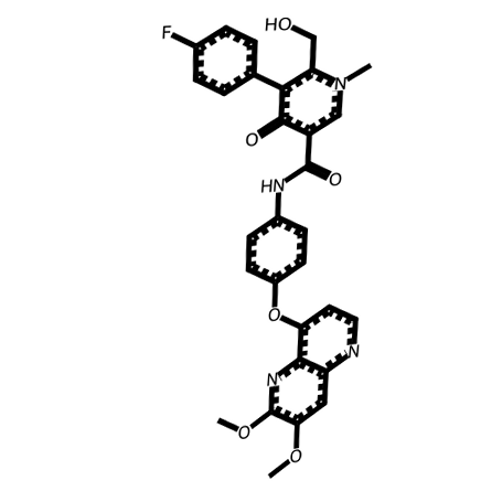 COc1cc2nccc(Oc3ccc(NC(=O)c4cn(C)c(CO)c(-c5ccc(F)cc5)c4=O)cc3)c2nc1OC